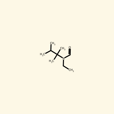 CCN(C=O)C(C)(C)C(C)C